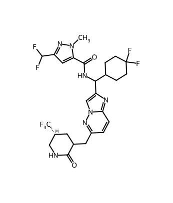 Cn1nc(C(F)F)cc1C(=O)NC(c1cn2nc(CC3C[C@@H](C(F)(F)F)CNC3=O)ccc2n1)C1CCC(F)(F)CC1